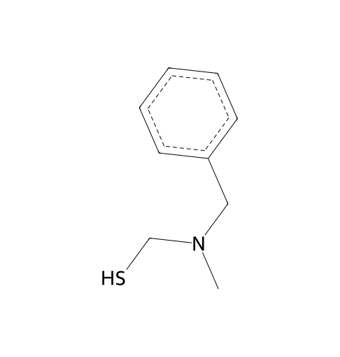 CN(CS)Cc1ccccc1